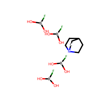 C1CN2CCC1CC2.OB(O)F.OB(O)F.OB(O)F.OB(O)F